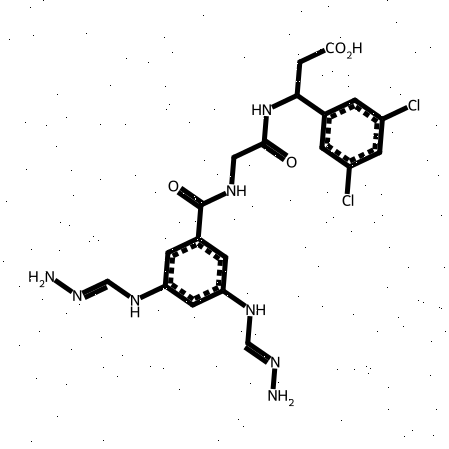 NN=CNc1cc(NC=NN)cc(C(=O)NCC(=O)NC(CC(=O)O)c2cc(Cl)cc(Cl)c2)c1